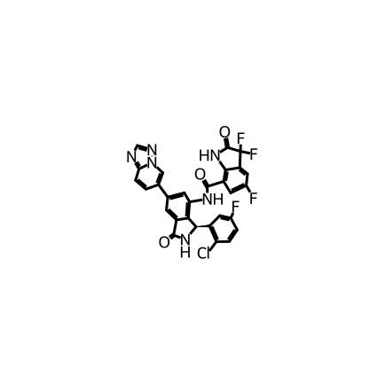 O=C(Nc1cc(-c2ccc3ncnn3c2)cc2c1[C@@H](c1cc(F)ccc1Cl)NC2=O)c1cc(F)cc2c1NC(=O)C2(F)F